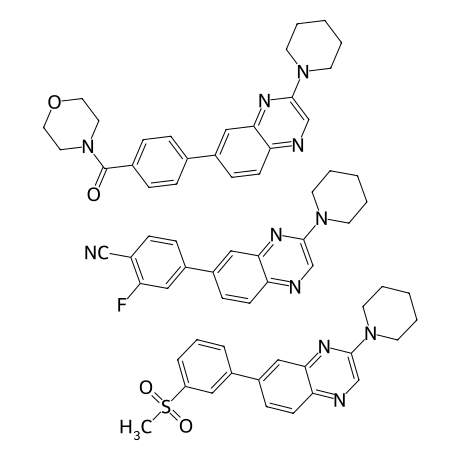 CS(=O)(=O)c1cccc(-c2ccc3ncc(N4CCCCC4)nc3c2)c1.N#Cc1ccc(-c2ccc3ncc(N4CCCCC4)nc3c2)cc1F.O=C(c1ccc(-c2ccc3ncc(N4CCCCC4)nc3c2)cc1)N1CCOCC1